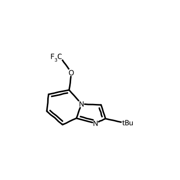 CC(C)(C)c1cn2c(OC(F)(F)F)cccc2n1